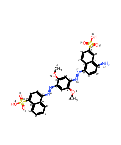 COc1cc(N=Nc2ccc(S(=O)(=O)O)c3ccccc23)c(OC)cc1N=Nc1ccc(N)c2cc(S(=O)(=O)O)ccc12